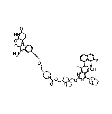 C#Cc1c(F)ccc2cccc(-c3ncc4c(N5CC6CCC(C5)N6)nc(OC[C@@]56CCCN5[C@H](COC(=O)N5CCC(CCOCC#Cc7ccc8c(c7)n(C)c(=O)n8C7CCC(=O)NC7=O)CC5)CC6)nc4c3F)c12